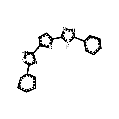 c1ccc(-c2n[nH]c(-c3ccc(-c4nnc(-c5ccccc5)[nH]4)o3)n2)cc1